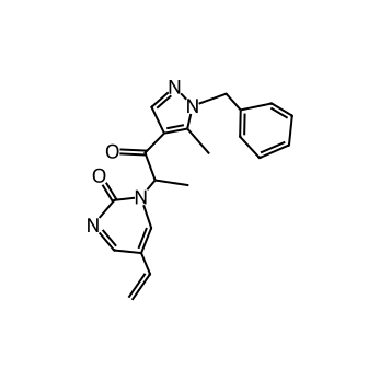 C=Cc1cnc(=O)n(C(C)C(=O)c2cnn(Cc3ccccc3)c2C)c1